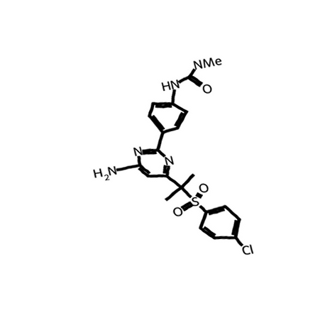 CNC(=O)Nc1ccc(-c2nc(N)cc(C(C)(C)S(=O)(=O)c3ccc(Cl)cc3)n2)cc1